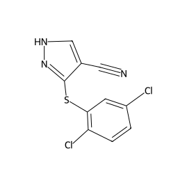 N#Cc1c[nH]nc1Sc1cc(Cl)ccc1Cl